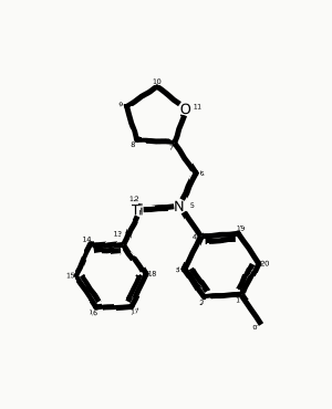 Cc1ccc([N](CC2CCCO2)[Ti][c]2ccccc2)cc1